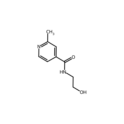 Cc1cc(C(=O)NCCO)ccn1